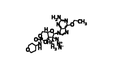 CCOc1nc(N)nc2c1ncn2[C@@H]1O[C@@H]2COP(=O)(NC3CCOCC3)O[C@H]2[C@@]1(C)N=[N+]=[N-]